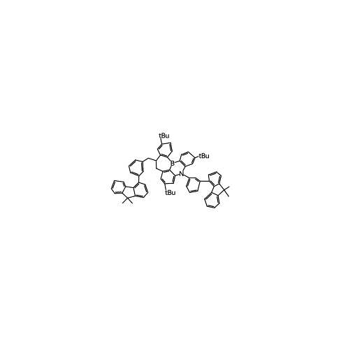 CC(C)(C)c1ccc2c(c1)C(Cc1cccc(-c3cccc4c3-c3ccccc3C4(C)C)c1)Cc1cc(C(C)(C)C)cc3c1B2c1ccc(C(C)(C)C)cc1N3c1cccc(-c2cccc3c2-c2ccccc2C3(C)C)c1